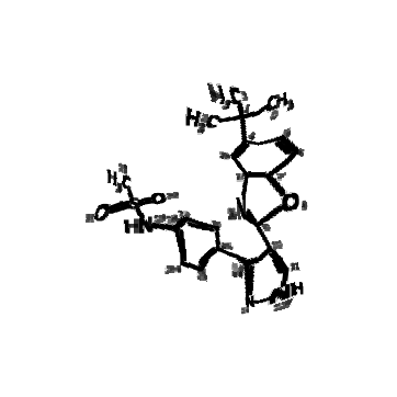 CC(C)(C)c1ccc2oc(-c3c[nH]nc3-c3ccc(NS(C)(=O)=O)cc3)nc2c1